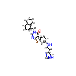 O=c1c2c3c(sc2ncn1Cc1cccc2ccccc12)CC(NCCc1c[nH]cn1)CC3